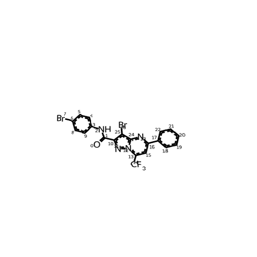 O=C(Nc1ccc(Br)cc1)c1nn2c(C(F)(F)F)cc(-c3ccccc3)nc2c1Br